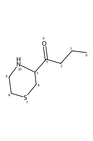 CCCC(=O)C1CSCCN1